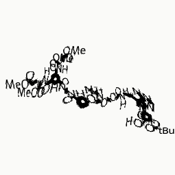 COC(=O)CC[C@H](NC(=O)c1cc(C(=O)NCCNC(=O)c2cccc(OCC(N=[N+]=[N-])OCCOCC(=O)NCC#Cc3cn([C@H]4C[C@H](OC(=O)C(C)(C)C)[C@@H](CO)O4)c4ncnc(N)c34)c2)cc(C(=O)N[C@@H](CCC(=O)OC)C(=O)OC)c1)C(=O)OC